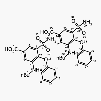 CCCCNc1cc(C(=O)O)cc(S(N)(=O)=O)c1Oc1ccccc1.CCCCNc1cc(C(=O)O)cc(S(N)(=O)=O)c1Oc1ccccc1